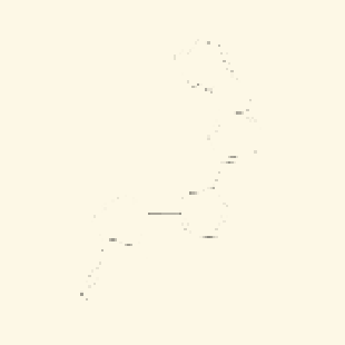 N#Cc1cccc(-c2cccc(-c3ccc4oc5ccccc5c4c3)c2)c1F